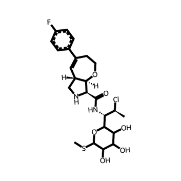 CSC1OC([C@H](NC(=O)[C@H]2NC[C@@H]3C=C(c4ccc(F)cc4)CCO[C@@H]23)[C@H](C)Cl)C(O)C(O)C1O